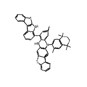 Cc1cc(-c2cccc3c2[nH]c2sc4ccccc4c23)c2c(c1)N(c1cc3c(cc1C)C(C)(C)CCC3(C)C)c1cc3c(cc1B2)sc1ccccc13